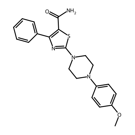 COc1ccc(N2CCN(c3nc(-c4ccccc4)c(C(N)=O)s3)CC2)cc1